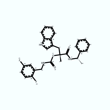 C[C@H](NC(=O)[C@@](C)(Cc1c[nH]c2ccccc12)OC(=O)NCc1cc(F)ccc1F)c1ccccc1